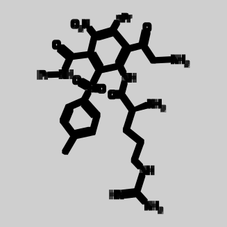 CCCc1c(C(=O)CN)c(NC(=O)[C@@H](N)CCCNC(=N)N)c(S(=O)(=O)c2ccc(C)cc2)c(C(=O)NC(C)C)c1[N+](=O)[O-]